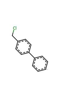 ClCc1ccc(-c2cc[c]cc2)cc1